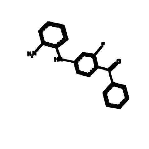 Nc1ccccc1Nc1ccc(C(=O)c2ccccc2)c(F)c1